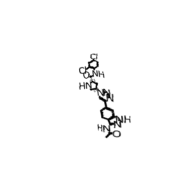 CC(=O)Nc1n[nH]c2cc(-c3cn([C@@H]4CN[C@H](C(=O)Nc5ccc(Cl)cc5Cl)C4)nn3)ccc12